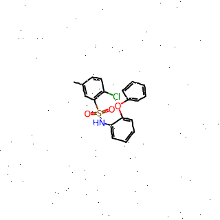 Cc1ccc(Cl)c(S(=O)(=O)Nc2ccccc2Oc2ccccc2)c1